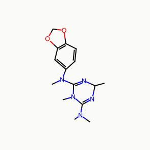 CC1N=C(N(C)C)N(C)C(N(C)c2ccc3c(c2)OCO3)=N1